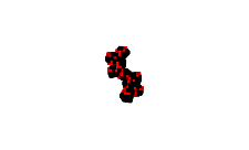 c1ccc(-n2c3ccccc3c3c4c(ccc32)C(c2ccc(C3c5ccccc5-c5c3ccc3c5c5ccccc5n3-c3ccccc3)cc2)c2ccccc2-4)cc1